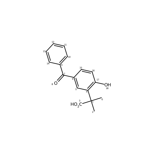 CC(C)(C(=O)O)c1cc(C(=O)c2ccccc2)ccc1O